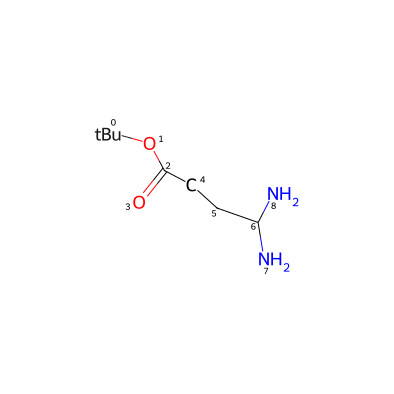 CC(C)(C)OC(=O)CCC(N)N